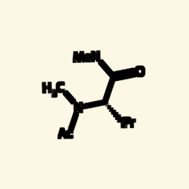 CNC(=O)[C@H](C(C)C)N(C)C(C)=O